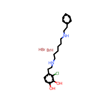 Br.Br.Oc1ccc(CCNCCCCCCNCCc2ccccc2)c(Cl)c1O